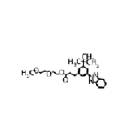 COCCOCCOC(=O)CCC1=CC(C(C)(C)C)CC(n2nc3ccccc3n2)=C1